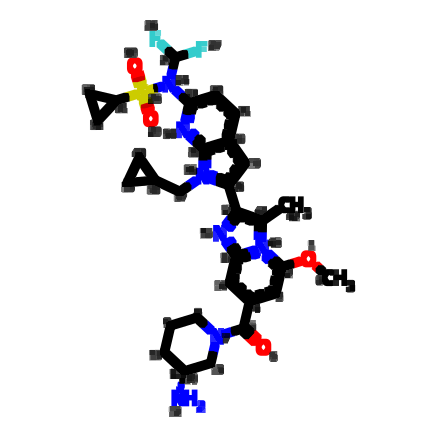 COc1cc(C(=O)N2CCC[C@@H](N)C2)cc2nc(-c3cc4ccc(N(C(F)F)S(=O)(=O)C5CC5)nc4n3CC3CC3)c(C)n12